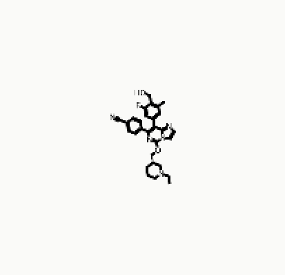 CCN1CCC[C@@H](COc2nc(-c3ccc(C#N)cc3)c(-c3cc(C)c(CO)c(F)c3)c3nccn23)C1